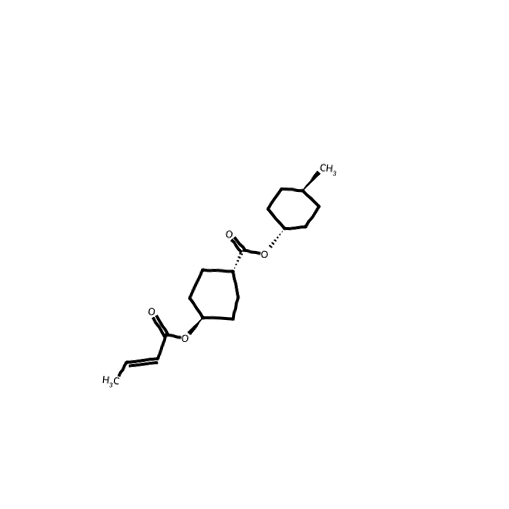 C/C=C/C(=O)O[C@H]1CC[C@H](C(=O)O[C@H]2CC[C@H](C)CC2)CC1